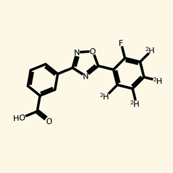 [2H]c1c([2H])c([2H])c(-c2nc(-c3cccc(C(=O)O)c3)no2)c(F)c1[2H]